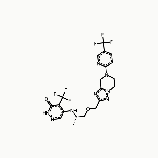 C[C@@H](COCc1nc2n(n1)CCN(c1ccc(C(F)(F)F)cn1)C2)Nc1cn[nH]c(=O)c1C(F)(F)F